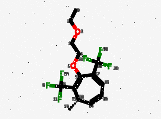 CCOCCOC1=C(C(F)(F)F)[C@@H](C)C=CC=C1C(F)(F)F